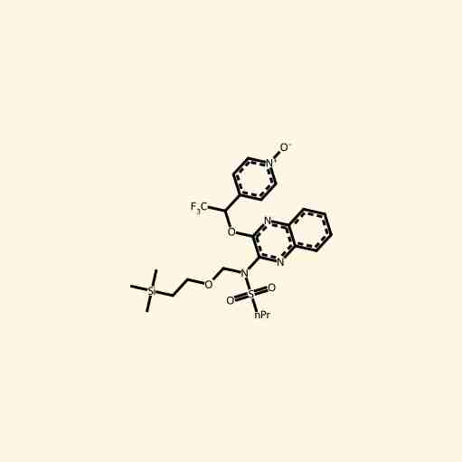 CCCS(=O)(=O)N(COCC[Si](C)(C)C)c1nc2ccccc2nc1OC(c1cc[n+]([O-])cc1)C(F)(F)F